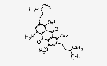 CC(C)CCc1cc(N)c2c(c1O)C(=O)c1c(O)c(CCC(C)C)cc(N)c1C2=O